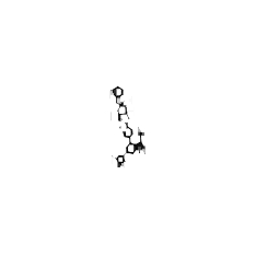 Cn1cc(-c2cc(-c3ccc(N4C[C@@H]5CC(O)(Cc6ccccn6)C[C@@H]5C4)nc3)c3c(C#N)cnn3c2)cn1